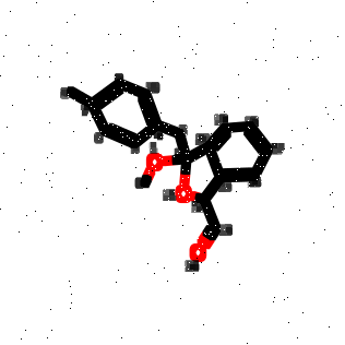 COC1(Cc2ccc(C)cc2)OC(C=O)c2ccccc21